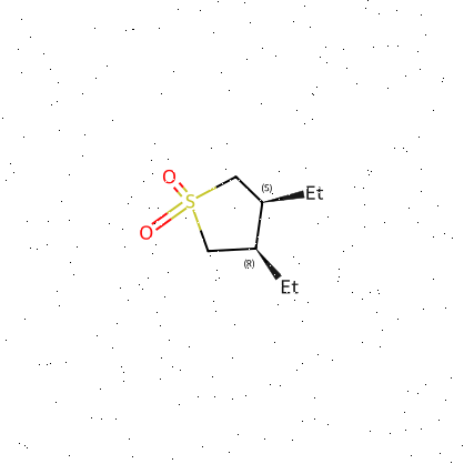 CC[C@@H]1CS(=O)(=O)C[C@@H]1CC